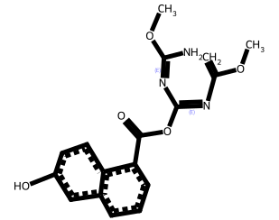 C=C(/N=C(\N=C(/N)OC)OC(=O)c1cccc2cc(O)ccc12)OC